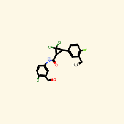 C=Cc1cc(C2C(C(=O)Nc3ccc(Cl)c(C=O)c3)C2(Cl)Cl)ccc1F